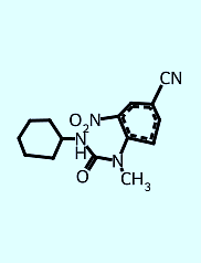 CN(C(=O)NC1CCCCC1)c1ccc(C#N)cc1[N+](=O)[O-]